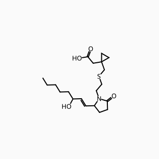 CCCCCC(O)C=CC1CCC(=O)N1CCSCC1(CC(=O)O)CC1